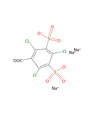 O=C([O-])c1c(Cl)c(S(=O)(=O)[O-])c(Cl)c(S(=O)(=O)[O-])c1Cl.[Na+].[Na+].[Na+]